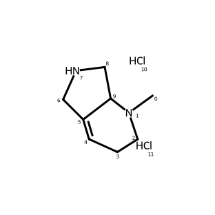 CN1CCC=C2CNCC21.Cl.Cl